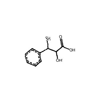 O=C(O)C(O)C(S)c1ccccc1